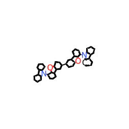 c1cc(-n2c3ccccc3c3ccccc32)c2oc3ccc(-c4ccc5oc6c(-n7c8ccccc8c8ccccc87)cccc6c5c4)cc3c2c1